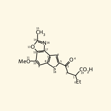 CCC(CC(=O)c1cc2c(cc(OC)c3oc(C)nc32)s1)C(=O)O